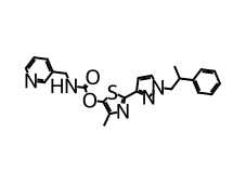 Cc1nc(-c2ccn(CC(C)c3ccccc3)n2)sc1OC(=O)NCc1cccnc1